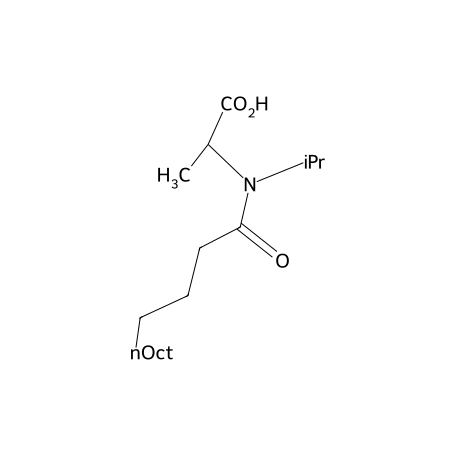 CCCCCCCCCCCC(=O)N(C(C)C)C(C)C(=O)O